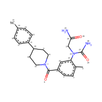 Cc1ccc(C(=O)N2CCC(c3ccc(C#N)cc3)CC2)cc1N(CC(N)=O)C(N)=O